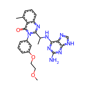 COCCOc1cccc(-n2c(C(C)Nc3nc(N)nc4[nH]cnc34)nc3cccc(C)c3c2=O)c1